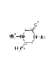 CCN1CC(C)N(C(C)(C)C)CC1=O